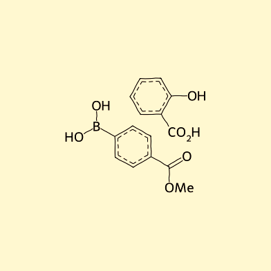 COC(=O)c1ccc(B(O)O)cc1.O=C(O)c1ccccc1O